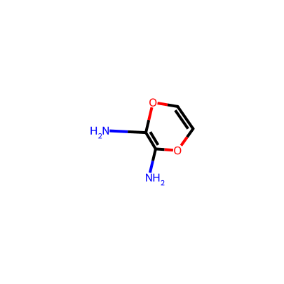 NC1=C(N)OC=CO1